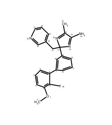 COc1cccc(-c2cccc(C3(Cc4cccnc4)N=C(C)C(N)=N3)c2)c1F